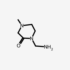 CN1CCN(CN)C(=O)C1